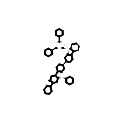 C1=Cc2c(c3ccc(-c4ccc5c6cc7sc8ccccc8c7cc6n(-c6ccccc6)c5c4)cc3n2-c2nc(-c3ccccc3)nc(-c3ccccc3)n2)CC1